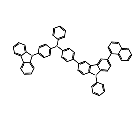 c1ccc(N(c2ccc(-c3ccc4c(c3)c3cc(-c5cccc6ccccc56)ccc3n4-c3ccccc3)cc2)c2ccc(-n3c4ccccc4c4ccccc43)cc2)cc1